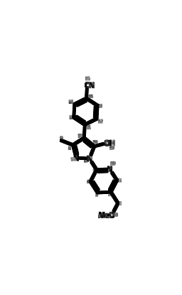 COCc1ccc(-n2nc(C)c(-c3ccc(C#N)cc3)c2O)nc1